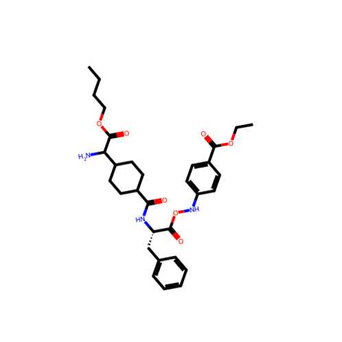 CCCCOC(=O)C(N)C1CCC(C(=O)N[C@@H](Cc2ccccc2)C(=O)ONc2ccc(C(=O)OCC)cc2)CC1